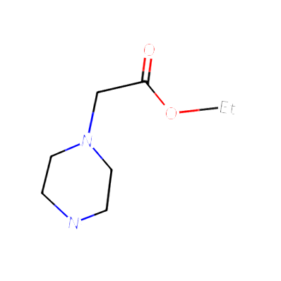 CCOC(=O)CN1CC[N]CC1